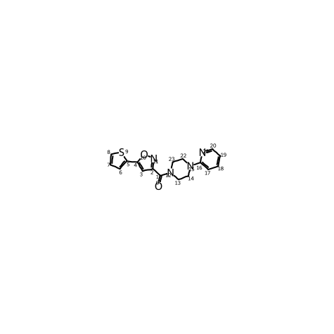 O=C(c1cc(-c2cccs2)on1)N1CCN(c2ccccn2)CC1